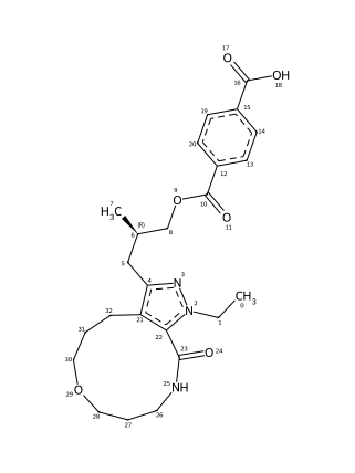 CCn1nc(C[C@@H](C)COC(=O)c2ccc(C(=O)O)cc2)c2c1C(=O)NCCCOCCC2